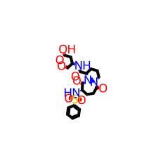 O=CC(CC(=O)O)NC(=O)C1CCCN2C(=O)CC[C@H](NS(=O)(=O)c3ccccc3)C(=O)N12